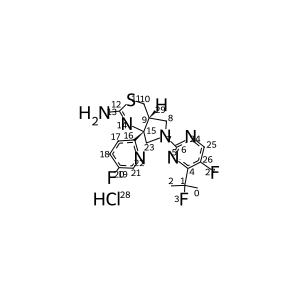 CC(C)(F)c1nc(N2C[C@H]3CSC(N)=N[C@@]3(c3ccc(F)cn3)C2)ncc1F.Cl